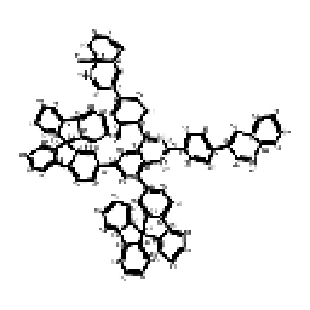 CC1C=C(C2=CC3C=CCCC3(C)N=C2)CCC1c1nc(-c2ccc(-c3cnc4ccccc4c3)cc2)nc2c(-c3ccc4c(c3)C3(c5ccccc5-c5ccccc53)c3ccccc3-4)cc(-c3ccc4c(c3)C3(c5ccccc5-c5ccccc53)c3ccccc3-4)cc12